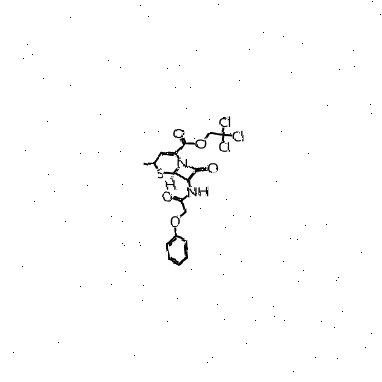 CC1C=C(C(=O)OCC(Cl)(Cl)Cl)N2C(=O)C(NC(=O)COc3ccccc3)[C@H]2S1